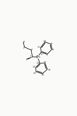 CCC[C@H](C)P(c1ccccc1)c1ccccc1